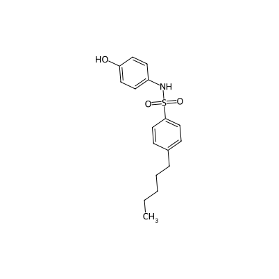 CCCCCc1ccc(S(=O)(=O)Nc2ccc(O)cc2)cc1